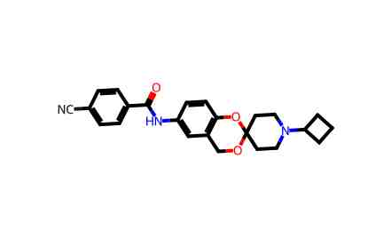 N#Cc1ccc(C(=O)Nc2ccc3c(c2)COC2(CCN(C4CCC4)CC2)O3)cc1